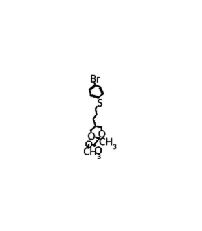 COC(=O)C1(C)OCC(CCCSc2ccc(Br)cc2)CO1